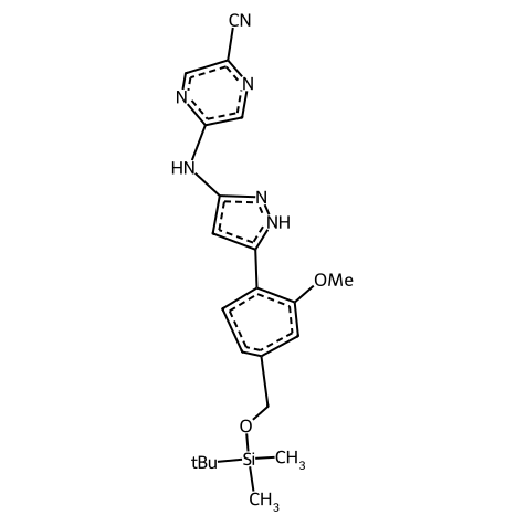 COc1cc(CO[Si](C)(C)C(C)(C)C)ccc1-c1cc(Nc2cnc(C#N)cn2)n[nH]1